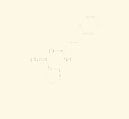 N=C(NC(=N)N1CCCC1)SCc1ccccc1